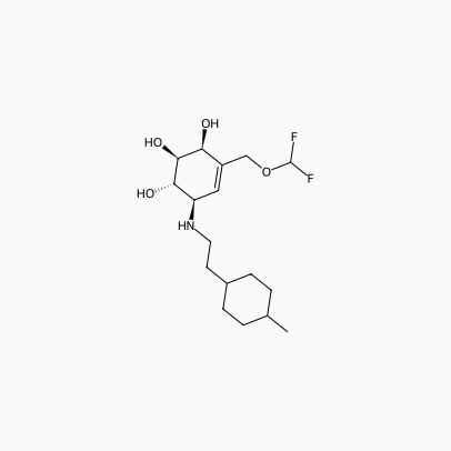 CC1CCC(CCN[C@@H]2C=C(COC(F)F)[C@H](O)[C@H](O)[C@H]2O)CC1